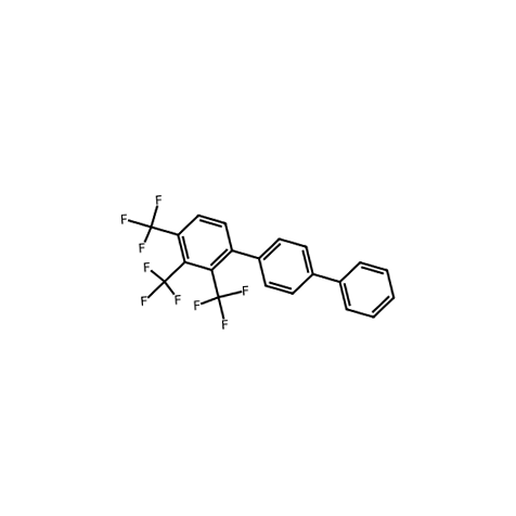 FC(F)(F)c1ccc(-c2ccc(-c3ccccc3)cc2)c(C(F)(F)F)c1C(F)(F)F